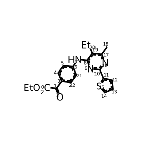 CCOC(=O)C(=O)c1ccc(Nc2nc(-c3cccs3)nc(C)c2CC)cc1